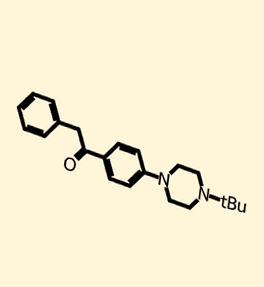 CC(C)(C)N1CCN(c2ccc(C(=O)Cc3ccccc3)cc2)CC1